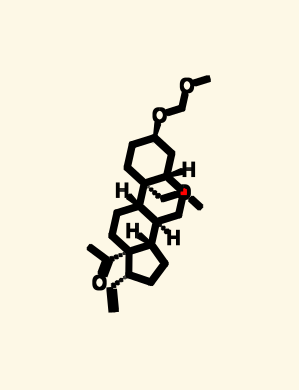 C=C[C@H]1CC[C@H]2[C@@H]3CC[C@H]4C[C@H](OCOC)CC[C@]4(COC)[C@H]3CC[C@]12C(C)=O